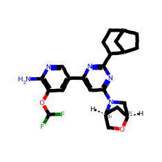 Nc1ncc(-c2cc(N3C[C@@H]4C[C@H]3CO4)nc(C3CCC4CCC3C4)n2)cc1OC(F)F